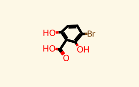 O=C(O)c1c(O)ccc(Br)c1O